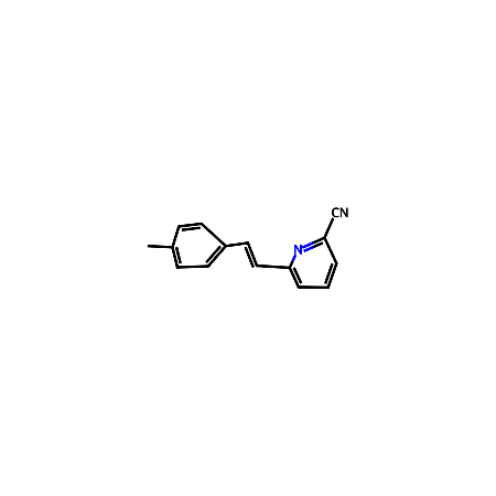 Cc1ccc(/C=C/c2cccc(C#N)n2)cc1